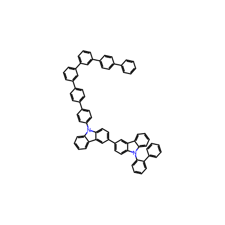 c1ccc(-c2ccc(-c3cccc(-c4cccc(-c5ccc(-c6ccc(-n7c8ccccc8c8cc(-c9ccc%10c(c9)c9ccccc9n%10-c9ccccc9-c9ccccc9)ccc87)cc6)cc5)c4)c3)cc2)cc1